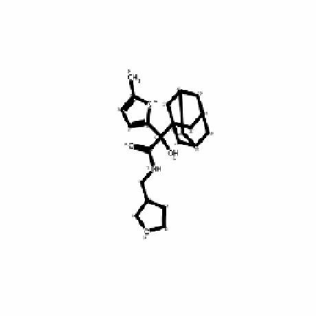 Cc1ccc(C(O)(C(=O)NCC2CCOC2)C23CC4CC(CC(C4)C2)C3)s1